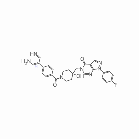 N=C/C(=C\N)c1ccc(C(=O)N2CCC(O)(Cn3cnc4c(cnn4-c4ccc(F)cc4)c3=O)CC2)cc1